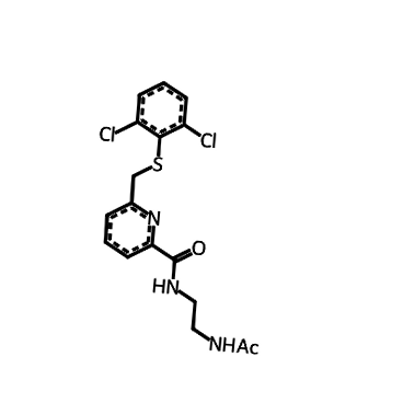 CC(=O)NCCNC(=O)c1cccc(CSc2c(Cl)cccc2Cl)n1